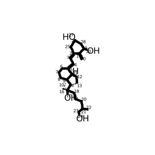 C=C1/C(=C\C=C2/CCC[C@@]3(C)[C@H]2CC[C@@H]3[C@@](C)(O)CCCC(C)CO)C[C@@H](O)CC1O